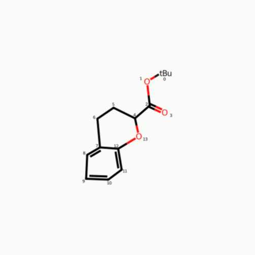 CC(C)(C)OC(=O)C1CCc2ccccc2O1